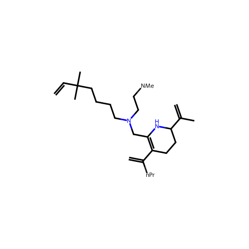 C=CC(C)(C)CCCCN(CCNC)CC1=C(C(=C)CCC)CCC(C(=C)C)N1